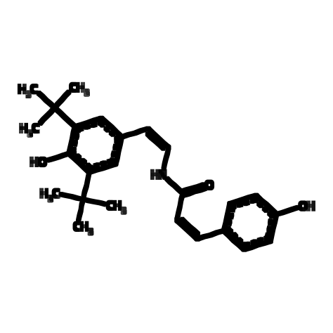 CC(C)(C)c1cc(/C=C\NC(=O)/C=C\c2ccc(O)cc2)cc(C(C)(C)C)c1O